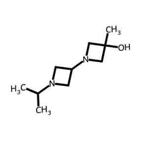 CC(C)N1CC(N2CC(C)(O)C2)C1